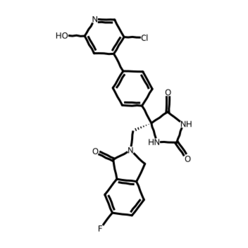 O=C1NC(=O)[C@](CN2Cc3ccc(F)cc3C2=O)(c2ccc(-c3cc(O)ncc3Cl)cc2)N1